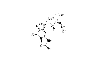 CC(C)C(=O)Nc1nc2c(ncn2[C@@H]2O[C@H](CO)[C@@H](N=[N+]=[N-])[C@H]2F)c(=O)[nH]1